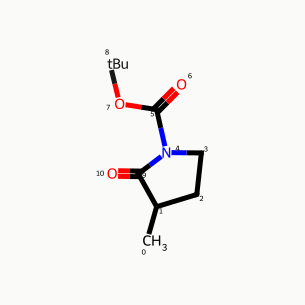 CC1CCN(C(=O)OC(C)(C)C)C1=O